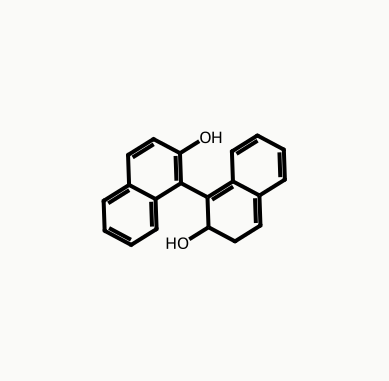 Oc1ccc2ccccc2c1C1=c2ccccc2=CCC1O